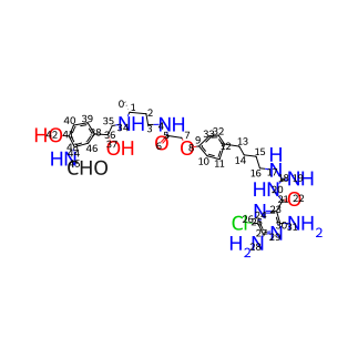 C[C@H](CCNC(=O)COc1ccc(CCCCNC(=N)NC(=O)c2nc(Cl)c(N)nc2N)cc1)NC[C@H](O)c1ccc(O)c(NC=O)c1